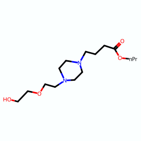 CCCOC(=O)CCCN1CCN(CCOCCO)CC1